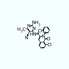 Cc1nc(N)nc(N[C@@H](C)c2cc3cccc(Cl)c3c(=O)n2-c2ccccc2)c1C#N